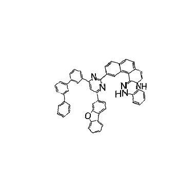 N=C1C=Cc2ccc3ccc(-c4nc(-c5cccc(-c6cccc(-c7ccccc7)c6)c5)cc(-c5ccc6c(c5)oc5ccccc56)n4)cc3c2/C1=N/Nc1ccccc1